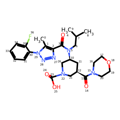 Cc1c(C(=O)N(CC(C)C)[C@H]2C[C@@H](C(=O)N3CCOCC3)CN(C(=O)O)C2)nnn1-c1ccccc1F